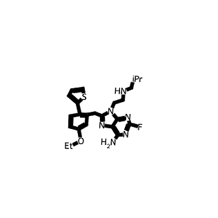 CCOc1ccc(-c2cccs2)c(Cc2nc3c(N)nc(F)nc3n2CCNCC(C)C)c1